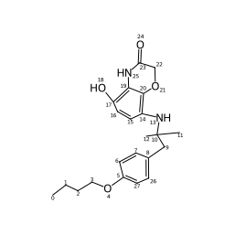 CCCCOc1ccc(CC(C)(C)Nc2ccc(O)c3c2OCC(=O)N3)cc1